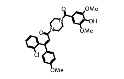 COc1ccc(C(=CC(=O)N2CCN(C(=O)c3cc(OC)c(O)c(OC)c3)CC2)c2ccccc2Cl)cc1